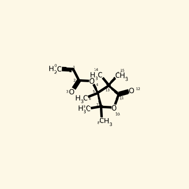 C=CC(=O)OC1(C)C(C)(C)OC(=O)C1(C)C